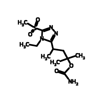 CCn1c(C(C)CC(C)(C)OC(N)=O)nnc1S(C)(=O)=O